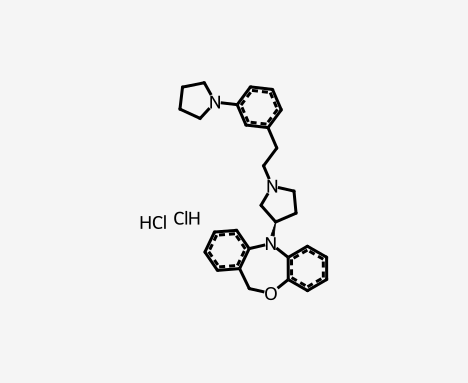 Cl.Cl.c1cc(CCN2CC[C@@H](N3c4ccccc4COc4ccccc43)C2)cc(N2CCCC2)c1